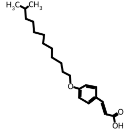 CC(C)CCCCCCCCCCOc1ccc(C=CC(=O)O)cc1